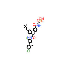 Cc1cc(Cl)ccc1-c1ccc(NC(=O)C(Cc2ccc(C(=O)NCCS(=O)(=O)O)cc2)c2ccc(/C=C/C(C)(C)C)cc2)c(F)c1